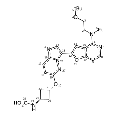 CCN(CCOC(C)(C)C)c1nccc2oc(-c3cnc4ccc(O[C@H]5C[C@H](NC(=O)O)C5)nn34)cc12